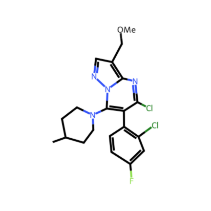 COCc1cnn2c(N3CCC(C)CC3)c(-c3ccc(F)cc3Cl)c(Cl)nc12